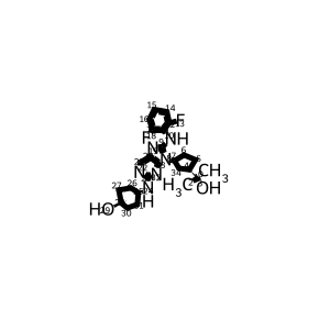 CC(C)(O)[C@H]1CCC(n2c(Nc3c(F)cccc3F)nc3cnc(N[C@H]4CC[C@H](O)CC4)nc32)C1